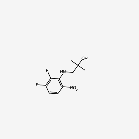 CC(C)(O)CNc1c([N+](=O)[O-])ccc(F)c1F